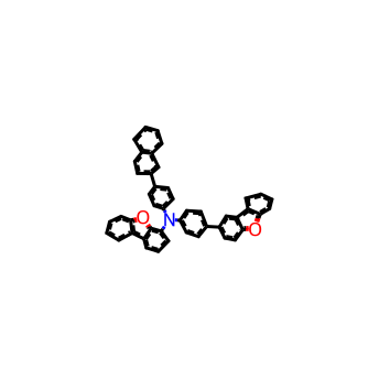 c1ccc2cc(-c3ccc(N(c4ccc(-c5ccc6oc7ccccc7c6c5)cc4)c4cccc5c4oc4ccccc45)cc3)ccc2c1